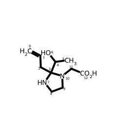 C=CCC1(C(C)O)NCCN1CC(=O)O